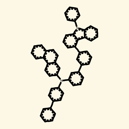 c1ccc(-c2ccc(N(c3cccc(-c4cccc(-c5cccc6c5c5ccccc5n6-c5ccccc5)c4)c3)c3ccc4c(ccc5ccccc54)c3)cc2)cc1